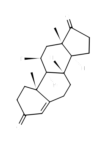 C[C@]12CCC(=O)C=C1CC[C@H]1[C@@H]3CCC(=O)[C@@]3(C)C[C@H](F)[C@@]12Br